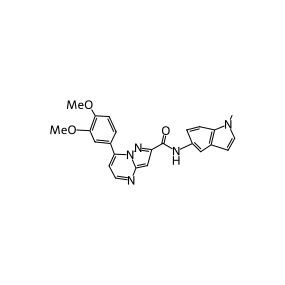 COc1ccc(-c2ccnc3cc(C(=O)Nc4ccc5c(ccn5C)c4)nn23)cc1OC